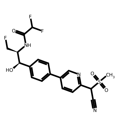 CS(=O)(=O)C(C#N)c1ccc(-c2ccc([C@@H](O)[C@@H](CF)NC(=O)C(F)F)cc2)cn1